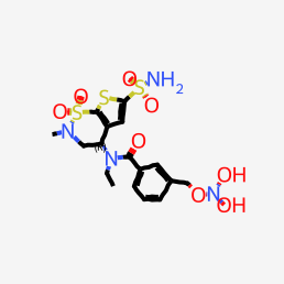 CCN(C(=O)c1cccc(CON(O)O)c1)[C@H]1CN(C)S(=O)(=O)c2sc(S(N)(=O)=O)cc21